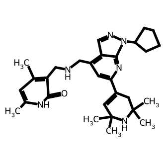 Cc1cc(C)c(CNCc2cc(C3=CC(C)(C)NC(C)(C)C3)nc3c2cnn3C2CCCC2)c(=O)[nH]1